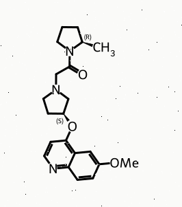 COc1ccc2nccc(O[C@H]3CCN(CC(=O)N4CCC[C@H]4C)C3)c2c1